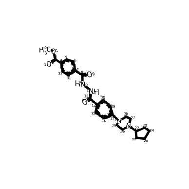 COC(=O)c1ccc(C(=O)NNC(=O)c2ccc(N3CCN(C4CCCC4)CC3)cc2)cc1